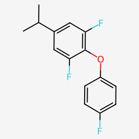 CC(C)c1cc(F)c(Oc2ccc(F)cc2)c(F)c1